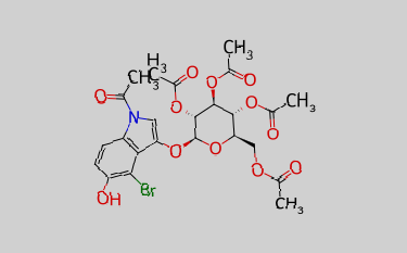 CC(=O)OC[C@H]1O[C@@H](Oc2cn(C(C)=O)c3ccc(O)c(Br)c23)[C@H](OC(C)=O)[C@@H](OC(C)=O)[C@@H]1OC(C)=O